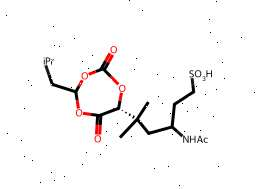 CC(=O)NC(CCS(=O)(=O)O)CC(C)(C)[C@H]1OC(=O)OC(CC(C)C)OC1=O